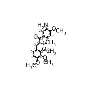 CC/C(=C\c1ccc(OC)c(OC)c1OC)C(=O)c1ccc(OC)c(N)c1